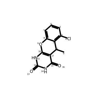 CC1c2c(Cl)cccc2Oc2[nH]c(=O)[nH]c(=O)c21